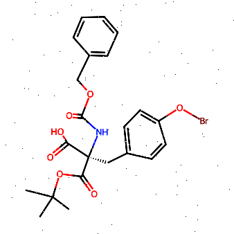 CC(C)(C)OC(=O)[C@](Cc1ccc(OBr)cc1)(NC(=O)OCc1ccccc1)C(=O)O